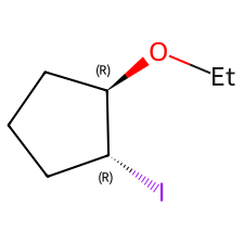 CCO[C@@H]1CCC[C@H]1I